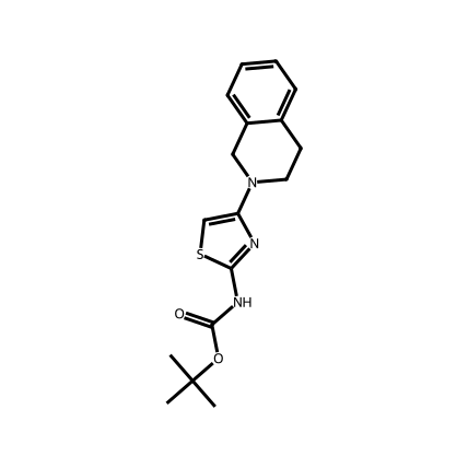 CC(C)(C)OC(=O)Nc1nc(N2CCc3ccccc3C2)cs1